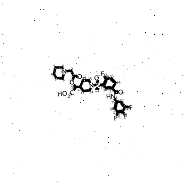 O=C(CN1CCCCC1)OC(C(=O)O)C1CCN(S(=O)(=O)c2cc(C(=O)Nc3cc(F)c(F)c(F)c3)ccc2F)CC1